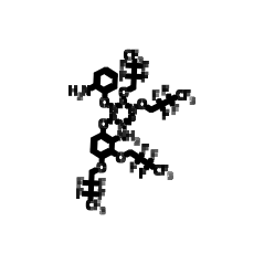 Nc1ccccc1On1p(Oc2ccc(OCC(F)(F)C(F)(F)C(F)(F)F)c(OCC(F)(F)C(F)(F)C(F)(F)F)c2N)npn(OCC(F)(F)C(F)(F)C(F)(F)F)p1OCC(F)(F)C(F)(F)C(F)(F)F